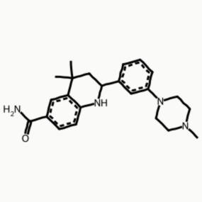 CN1CCN(c2cccc(C3CC(C)(C)c4cc(C(N)=O)ccc4N3)c2)CC1